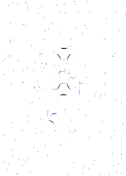 CCOC(=O)c1sc(SCc2cc3c(cc2OC)[C@@H](N(Cc2cc(C(F)(F)F)cc(C(F)(F)F)c2)C(=O)OC)C[C@@H](C)N3C(=O)OCC)nc1C